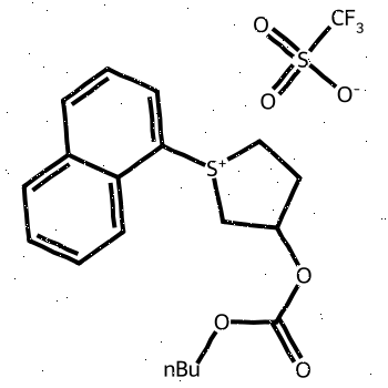 CCCCOC(=O)OC1CC[S+](c2cccc3ccccc23)C1.O=S(=O)([O-])C(F)(F)F